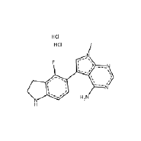 Cl.Cl.Cn1cc(-c2ccc3c(c2F)CCN3)c2c(N)ncnc21